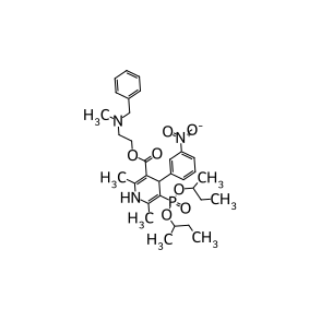 CCC(C)OP(=O)(OC(C)CC)C1=C(C)NC(C)=C(C(=O)OCCN(C)Cc2ccccc2)C1c1cccc([N+](=O)[O-])c1